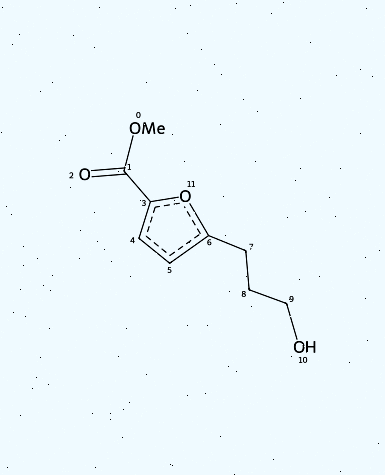 COC(=O)c1ccc(CCCO)o1